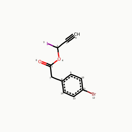 C#CC(I)OC(=O)Cc1ccc(Br)cc1